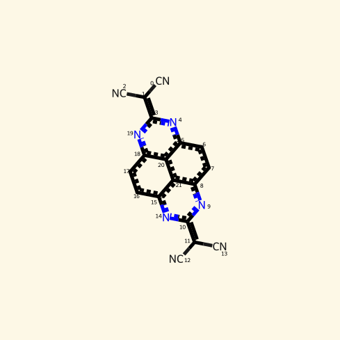 N#CC(C#N)=c1nc2ccc3nc(=C(C#N)C#N)nc4ccc(n1)c2c34